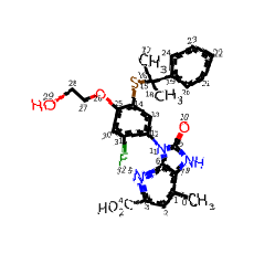 Cc1cc(C(=O)O)nc2c1[nH]c(=O)n2-c1cc(SC(C)(C)c2ccccc2)c(OCCO)cc1F